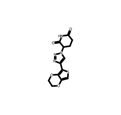 O=C1CCC(n2cc(-c3scc4c3OCCO4)nn2)C(=O)N1